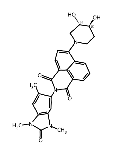 Cc1cc2c(cc1N1C(=O)c3cccc4c(N5CC[C@H](O)[C@@H](O)C5)ccc(c34)C1=O)n(C)c(=O)n2C